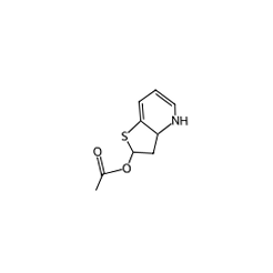 CC(=O)OC1CC2NC=CC=C2S1